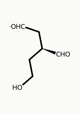 O=[C]C[C@@H](C=O)CCO